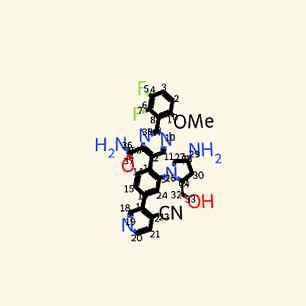 COc1ccc(F)c(F)c1-c1ncc(-c2ccc(-c3cnccc3C#N)cc2N2C[C@@H](N)C[C@H]2CO)c(C(N)=O)n1